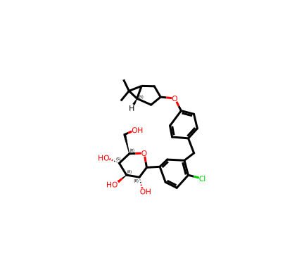 CC1(C)C2CC(Oc3ccc(Cc4cc(C5O[C@H](CO)[C@@H](O)[C@H](O)[C@H]5O)ccc4Cl)cc3)C[C@@H]21